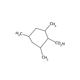 CC1CC(C)C(C(=O)O)C(C)C1